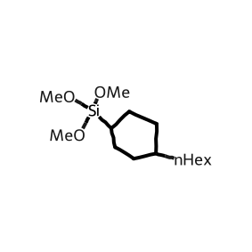 CCCCCCC1CCC([Si](OC)(OC)OC)CC1